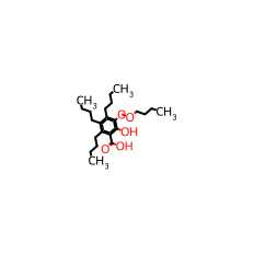 CCCCOOc1c(O)c(C(=O)O)c(CCCC)c(CCCC)c1CCCC